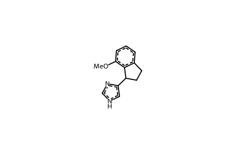 COc1cccc2c1C(c1c[nH]cn1)CC2